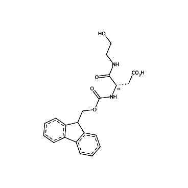 O=C(O)C[C@H](NC(=O)OCC1c2ccccc2-c2ccccc21)C(=O)NCCO